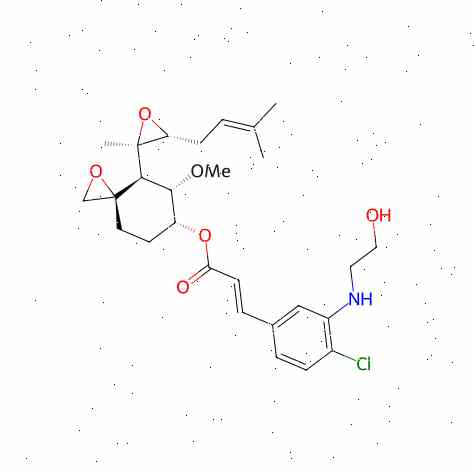 CO[C@@H]1[C@H](OC(=O)/C=C/c2ccc(Cl)c(NCCO)c2)CC[C@]2(CO2)[C@H]1[C@@]1(C)O[C@@H]1CC=C(C)C